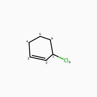 ClC1[C]=CCCC1